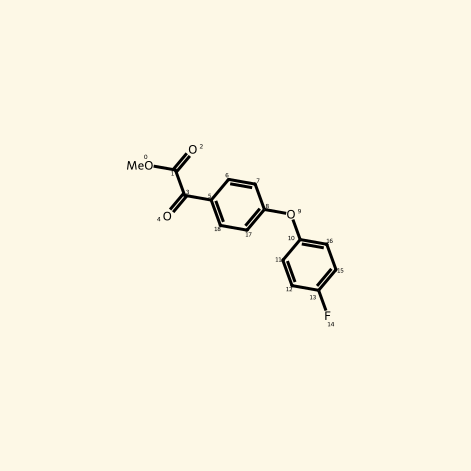 COC(=O)C(=O)c1ccc(Oc2ccc(F)cc2)cc1